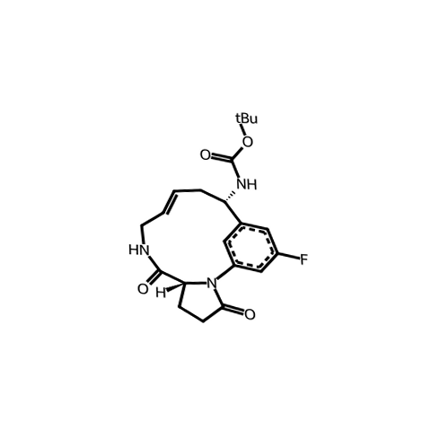 CC(C)(C)OC(=O)N[C@H]1C/C=C/CNC(=O)[C@H]2CCC(=O)N2c2cc(F)cc1c2